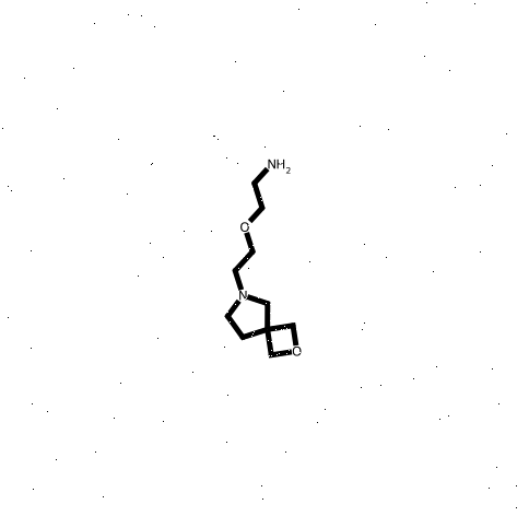 NCCOCCN1CCC2(COC2)C1